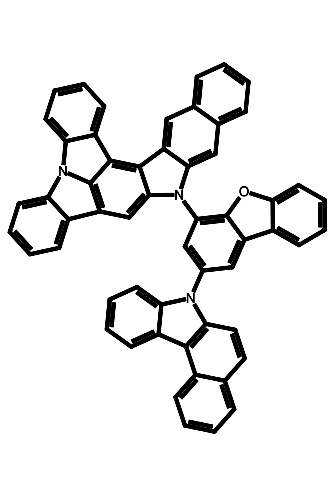 c1ccc2cc3c(cc2c1)c1c2c4ccccc4n4c5ccccc5c(cc1n3-c1cc(-n3c5ccccc5c5c6ccccc6ccc53)cc3c1oc1ccccc13)c24